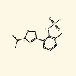 Cc1cccc(C2=N[C@@H](C(C)C)OC2)c1NS(C)(=O)=O